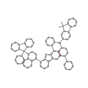 CC1(C)c2ccccc2-c2ccc(N(c3ccc(-c4ccccc4)cc3)c3ccccc3-c3cccc4c3sc3c(-c5ccc(C6(c7ccccc7)c7ccccc7-c7ccccc76)c6ccccc56)cccc34)cc21